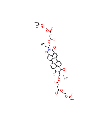 C=CC(=O)OCCOC(=O)CCC(=O)OCC(CC(C)C)N1C(=O)c2ccc3c4ccc5c6c(ccc(c7ccc(c2c37)C1=O)c64)C(=O)N(C(COC(=O)CCC(=O)OCCOC(=O)C=C)CC(C)C)C5=O